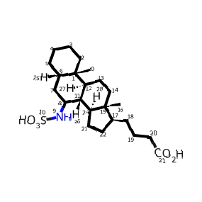 C[C@]12CCCC[C@H]1CC(NS(=O)(=O)O)[C@@H]1[C@@H]2CC[C@]2(C)[C@@H](CCCC(=O)O)CC[C@@H]12